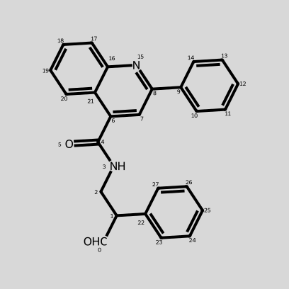 O=CC(CNC(=O)c1cc(-c2ccccc2)nc2ccccc12)c1ccccc1